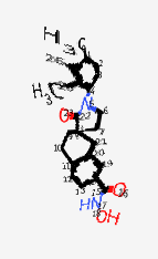 Cc1ccc(N2CC[C@@]3(CCc4ccc(C(=O)NO)cc4C3)C2=O)c(C)c1